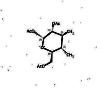 CC(=O)OC[C@H]1O[C@H](OC(C)=O)[C@H](OC(C)=O)[C@@H](C)[C@@H]1C